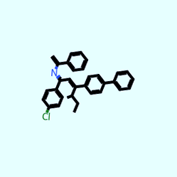 C=C(/N=C(\C=C(\c1ccc(-c2ccccc2)cc1)C(C)CC)c1ccc(Cl)cc1)c1ccccc1